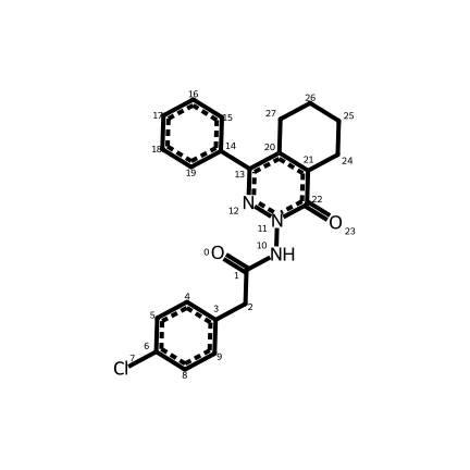 O=C(Cc1ccc(Cl)cc1)Nn1nc(-c2ccccc2)c2c(c1=O)CCCC2